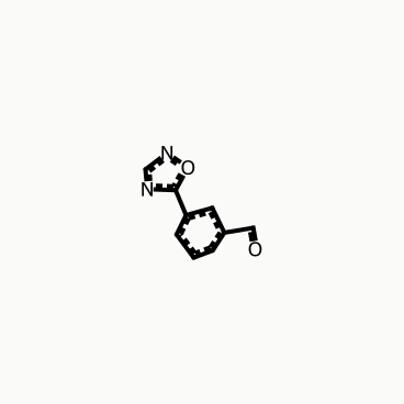 O=Cc1cccc(-c2ncno2)c1